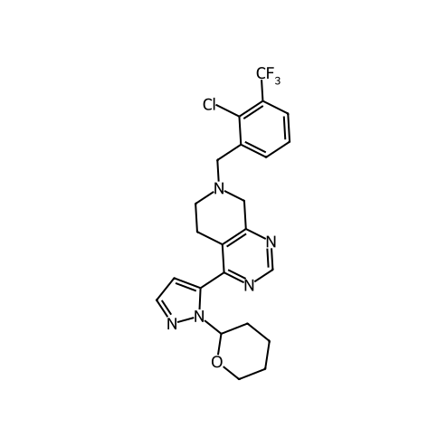 FC(F)(F)c1cccc(CN2CCc3c(ncnc3-c3ccnn3C3CCCCO3)C2)c1Cl